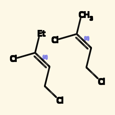 C/C(Cl)=C/CCl.CC/C(Cl)=C/CCl